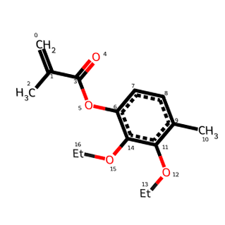 C=C(C)C(=O)Oc1ccc(C)c(OCC)c1OCC